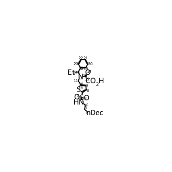 CCCCCCCCCCCCNS(=O)(=O)c1ccc(CN(C(=O)C(=O)O)C(CC)c2ccccc2)s1